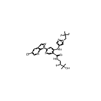 CC(F)(F)Cn1cc(Nc2cc(-n3ncc4cc(Cl)cnc43)ncc2C(=O)NCC(F)C(C)(C)O)cn1